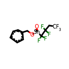 [O]=[Sn]([O]Cc1ccccc1)[C](F)(F)C(F)(F)CC(F)(F)F